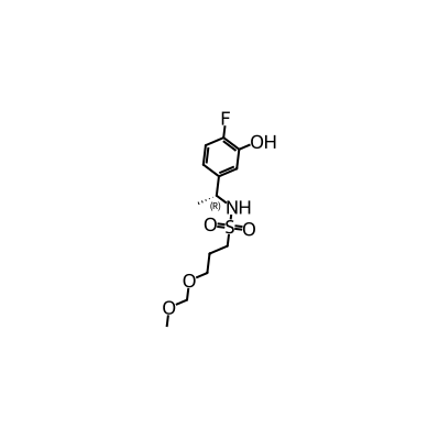 COCOCCCS(=O)(=O)N[C@H](C)c1ccc(F)c(O)c1